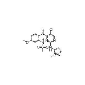 COc1ccc(Nc2nc(Nc3ccnn3C)ncc2Cl)c(NS(C)(=O)=O)c1